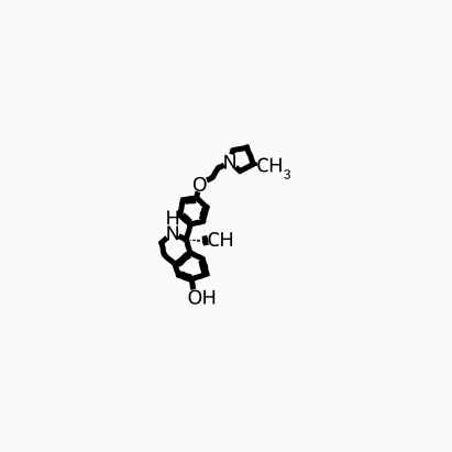 C#C[C@@]1(c2ccc(OCCN3CC[C@@H](C)C3)cc2)NCCc2cc(O)ccc21